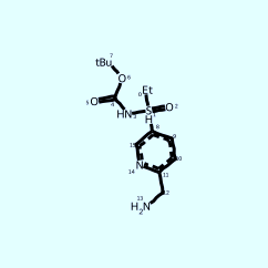 CC[SH](=O)(NC(=O)OC(C)(C)C)c1ccc(CN)nc1